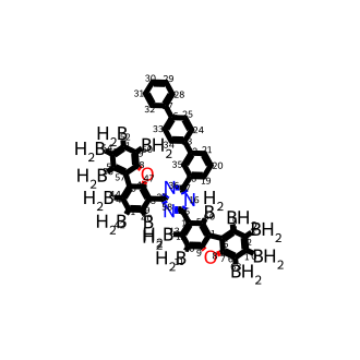 Bc1c(B)c(B)c2c(oc3c(B)c(B)c(-c4nc(-c5cccc(-c6ccc(-c7ccccc7)cc6)c5)nc(-c5c(B)c(B)c(B)c6c5oc5c(B)c(B)c(B)c(B)c56)n4)c(B)c32)c1B